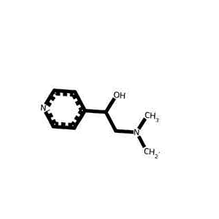 [CH2]N(C)CC(O)c1ccncc1